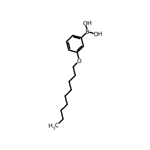 CCCCCCCCCOc1cccc(B(O)O)c1